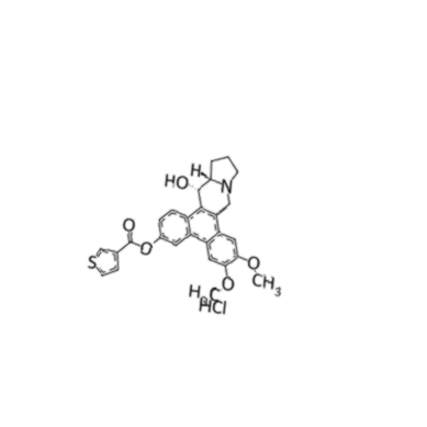 COc1cc2c3c(c4ccc(OC(=O)c5ccsc5)cc4c2cc1OC)[C@H](O)[C@@H]1CCCN1C3.Cl